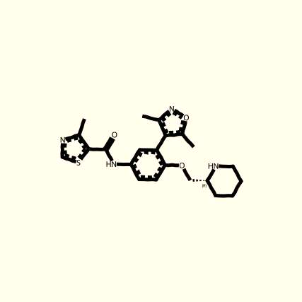 Cc1ncsc1C(=O)Nc1ccc(OC[C@H]2CCCCN2)c(-c2c(C)noc2C)c1